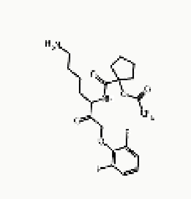 NCCCCC(NC(=O)C1(OC(=O)C(F)(F)F)CCCC1)C(=O)COc1c(F)cccc1F